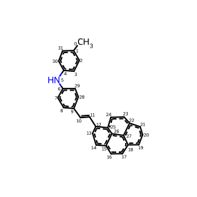 Cc1ccc(Nc2ccc(C=Cc3ccc4ccc5cccc6ccc3c4c56)cc2)cc1